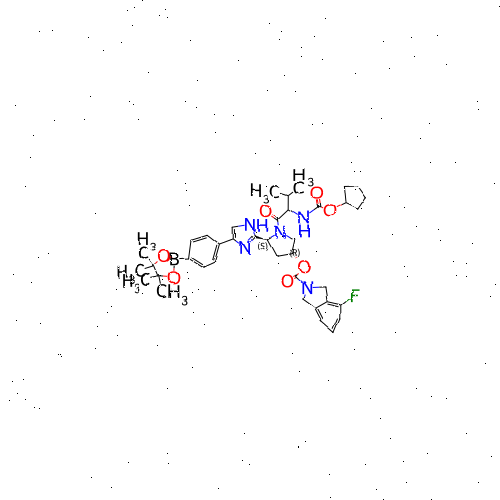 CC(C)C(NC(=O)OC1CCCC1)C(=O)N1C[C@H](OC(=O)N2Cc3cccc(F)c3C2)C[C@H]1c1nc(-c2ccc(B3OC(C)(C)C(C)(C)O3)cc2)c[nH]1